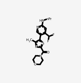 CCCNc1cc(C(F)F)c(-c2sc(C(=O)N3CCOCC3)nc2C)cn1